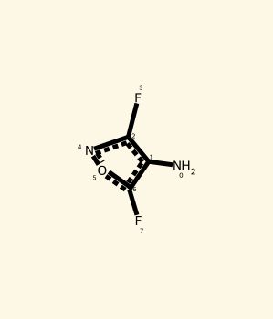 Nc1c(F)noc1F